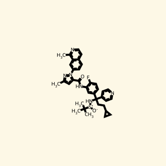 Cc1cc(C(=O)Nc2cc(C(CCC3CC3)(N[S+]([O-])C(C)(C)C)c3ccncc3)ccc2F)n(-c2ccc3ccnc(C)c3c2)n1